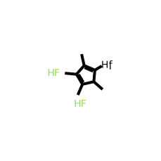 CC1=C(C)C(C)[C]([Hf])=C1C.F.F